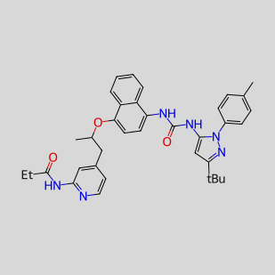 CCC(=O)Nc1cc(CC(C)Oc2ccc(NC(=O)Nc3cc(C(C)(C)C)nn3-c3ccc(C)cc3)c3ccccc23)ccn1